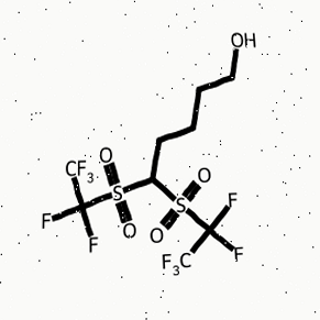 O=S(=O)(C(CCCCO)S(=O)(=O)C(F)(F)C(F)(F)F)C(F)(F)C(F)(F)F